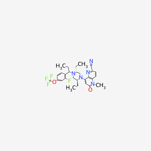 CCC(c1ccc(OC(F)(F)F)cc1F)N1C[C@H](CC)N(c2cc(=O)n(C)c3ccc(C#N)nc23)C[C@H]1CC